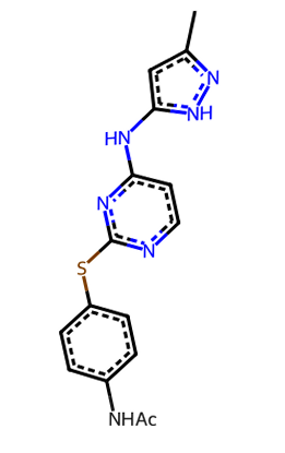 CC(=O)Nc1ccc(Sc2nccc(Nc3cc(C)n[nH]3)n2)cc1